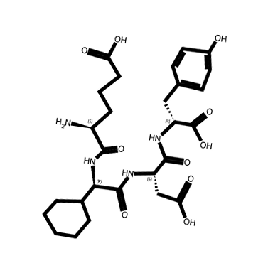 N[C@@H](CCCC(=O)O)C(=O)N[C@@H](C(=O)N[C@@H](CC(=O)O)C(=O)N[C@H](Cc1ccc(O)cc1)C(=O)O)C1CCCCC1